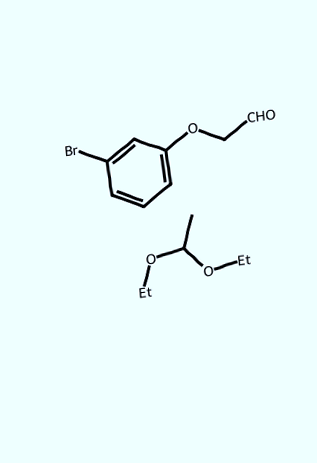 CCOC(C)OCC.O=CCOc1cccc(Br)c1